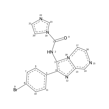 O=C(Nc1c(-c2ccc(Br)cc2)nc2cnccn12)n1ccnc1